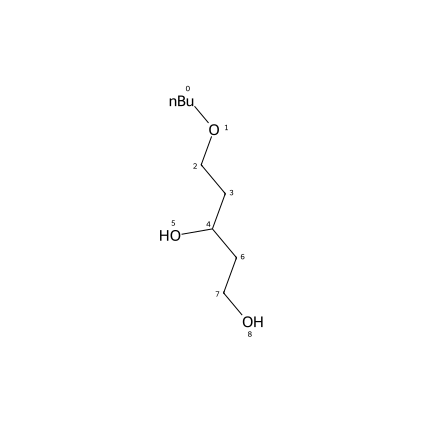 CCCCOCCC(O)CCO